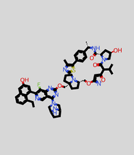 CCc1cccc2cc(O)cc(-c3ncc4c(N5CC6CCC(C5)N6)nc(OC[C@]56CCCN5[C@H](COc5cc(C(C(=O)N7C[C@H](O)C[C@H]7C(=O)N[C@@H](C)c7ccc(-c8scnc8C)cc7)C(C)C)on5)CC6)nc4c3F)c12